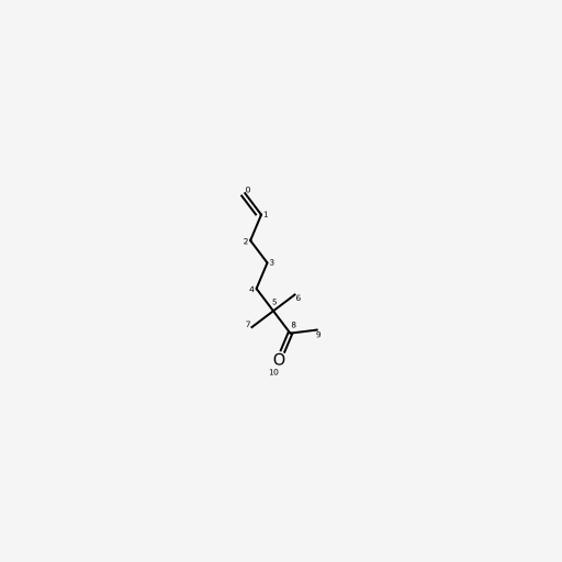 C=CCCCC(C)(C)C(C)=O